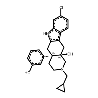 Oc1cccc([C@@]23CCN(CC4CC4)C[C@@]2(O)Cc2c([nH]c4cc(Cl)ccc24)C3)c1